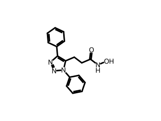 O=C(CCc1c(-c2ccccc2)nnn1-c1ccccc1)NO